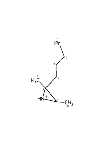 CC(C)CCCC1(C)NC1C